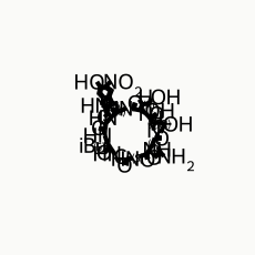 CC[C@H](C)C1NC(=O)CNC(=O)[C@H](Cc2c([S+](C)[O-])[nH]c3cc(O)c([N+](=O)[O-])cc23)NC(=O)C(C(C)[C@@H](O)CO)NC(=O)[C@@H]2C[C@@H](O)CN2C(=O)[C@H](CC(N)=O)NC(=O)[C@H](C)NC(=O)CNC1=O